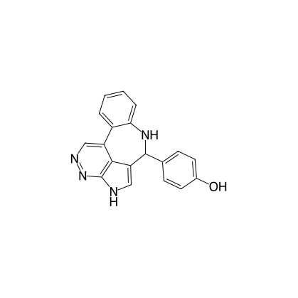 Oc1ccc(C2Nc3ccccc3-c3cnnc4[nH]cc2c34)cc1